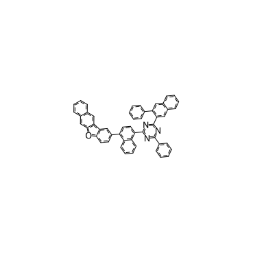 c1ccc(-c2nc(-c3cc4ccccc4cc3-c3ccccc3)nc(-c3ccc(-c4ccc5oc6cc7ccccc7cc6c5c4)c4ccccc34)n2)cc1